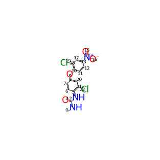 CNC(=O)Nc1ccc(Oc2ccc([N+](=O)[O-])cc2Cl)cc1Cl